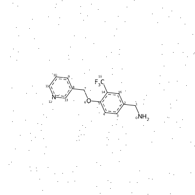 NCc1ccc(OCc2cccnc2)c(C(F)(F)F)c1